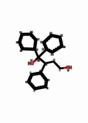 OCCC(c1ccccc1)C(O)(c1ccccc1)c1ccccc1